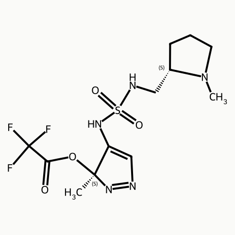 CN1CCC[C@H]1CNS(=O)(=O)NC1=CN=N[C@@]1(C)OC(=O)C(F)(F)F